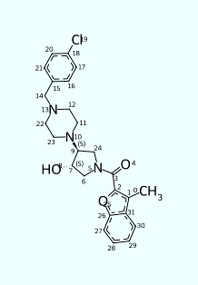 Cc1c(C(=O)N2C[C@H](O)[C@@H](N3CCN(Cc4ccc(Cl)cc4)CC3)C2)oc2ccccc12